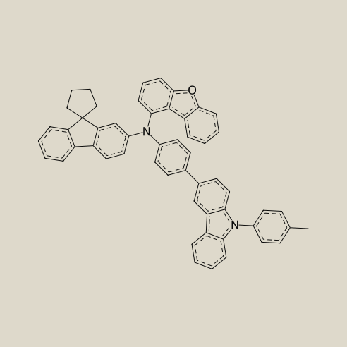 Cc1ccc(-n2c3ccccc3c3cc(-c4ccc(N(c5ccc6c(c5)C5(CCCC5)c5ccccc5-6)c5cccc6oc7ccccc7c56)cc4)ccc32)cc1